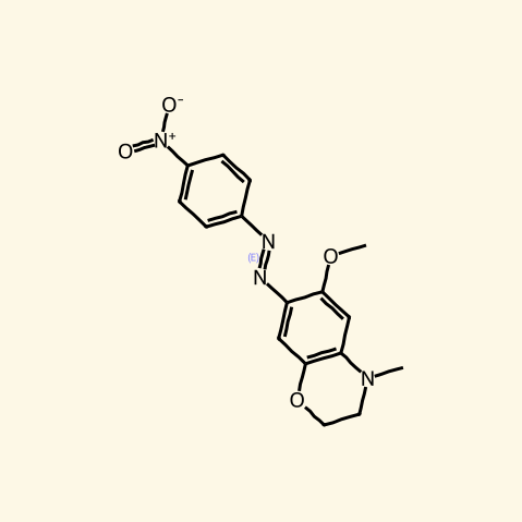 COc1cc2c(cc1/N=N/c1ccc([N+](=O)[O-])cc1)OCCN2C